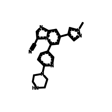 Cn1cc(-c2cc(-c3ccc(N4CCNCC4)nc3)n3c(C#N)cnc3c2)cn1